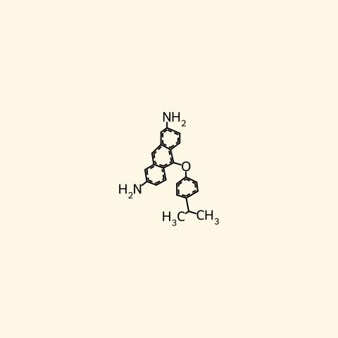 CC(C)c1ccc(Oc2c3ccc(N)cc3cc3cc(N)ccc23)cc1